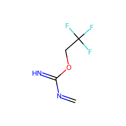 C=NC(=N)OCC(F)(F)F